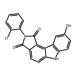 O=C1c2ccc3[nH]c4ccc(O)cc4c3c2C(=O)N1c1ccccc1Cl